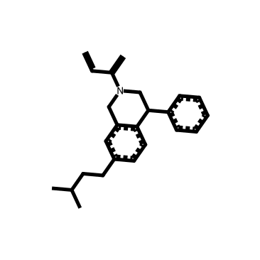 C=CC(=C)N1Cc2cc(CCC(C)C)ccc2C(c2ccccc2)C1